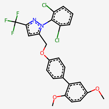 COc1ccc(OC)c(-c2ccc(OCc3cc(C(F)(F)F)nn3-c3c(Cl)cccc3Cl)cc2)c1